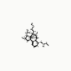 CCNC[C@H]1C=CC=C2C1C[C@H](C)[C@](O)(CCOC)C1(O)C2C[C@@H](C)[C@@H]1OC